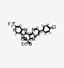 CCS(=O)(=O)c1nn2cc(-c3ccc(Cl)cc3)cnc2c1-c1nc2cc(C(F)(F)F)ncc2n1C